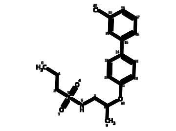 CCCS(=O)(=O)NCC(C)Oc1ccc(-c2cccc(Cl)c2)cc1